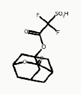 O=C1OC2CC3CC1CC(OC(=O)C(F)(F)S(=O)(=O)O)(C3)C2